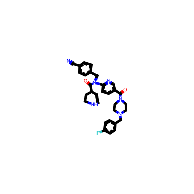 N#Cc1ccc(CN(C(=O)C2CCNCC2)c2ccc(C(=O)N3CCN(Cc4ccc(F)cc4)CC3)cn2)cc1